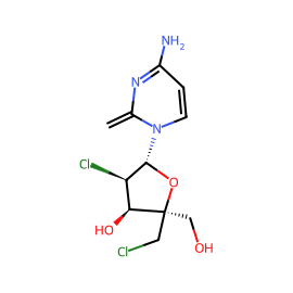 C=C1N=C(N)C=CN1[C@@H]1O[C@@](CO)(CCl)[C@@H](O)[C@H]1Cl